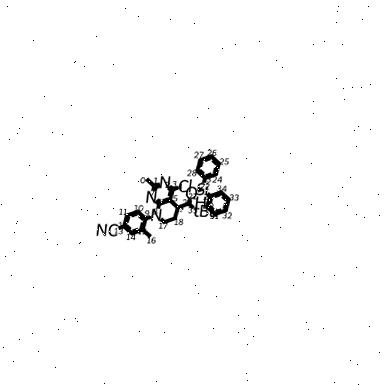 Cc1nc(Cl)c2c(n1)N(c1ccc(C#N)cc1C)CCC2C(O[SiH](c1ccccc1)c1ccccc1)C(C)(C)C